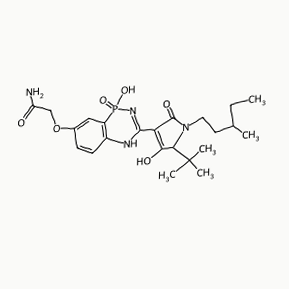 CCC(C)CCN1C(=O)C(C2=NP(=O)(O)c3cc(OCC(N)=O)ccc3N2)=C(O)C1C(C)(C)C